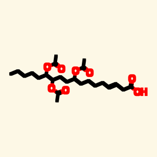 CCCCCC(OC(C)=O)C(CCC(CCCCC=CCC(=O)O)OC(C)=O)OC(C)=O